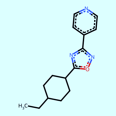 CCC1CCC(c2nc(-c3ccncc3)no2)CC1